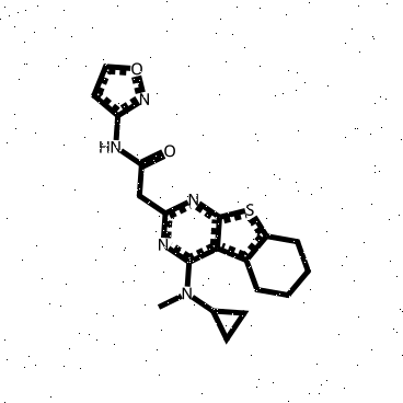 CN(c1nc(CC(=O)Nc2ccon2)nc2sc3c(c12)CCCC3)C1CC1